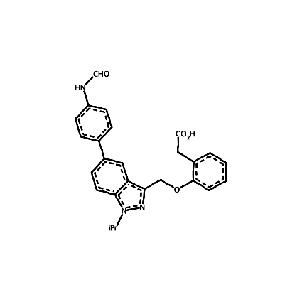 CC(C)n1nc(COc2ccccc2CC(=O)O)c2cc(-c3ccc(NC=O)cc3)ccc21